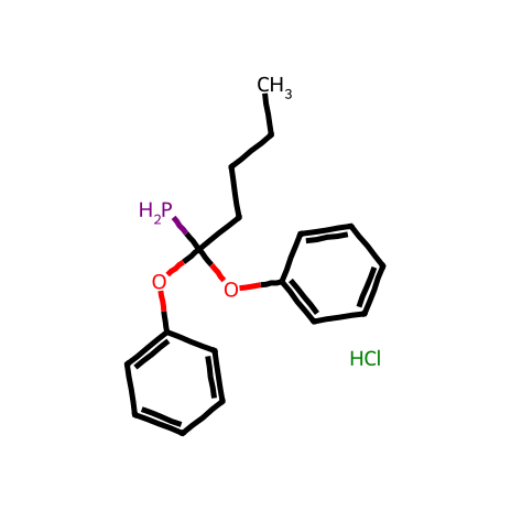 CCCCC(P)(Oc1ccccc1)Oc1ccccc1.Cl